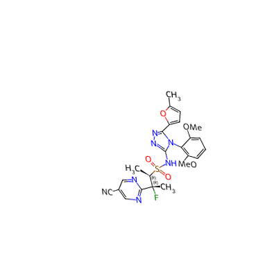 COc1cccc(OC)c1-n1c(NS(=O)(=O)[C@H](C)[C@](C)(F)c2ncc(C#N)cn2)nnc1-c1ccc(C)o1